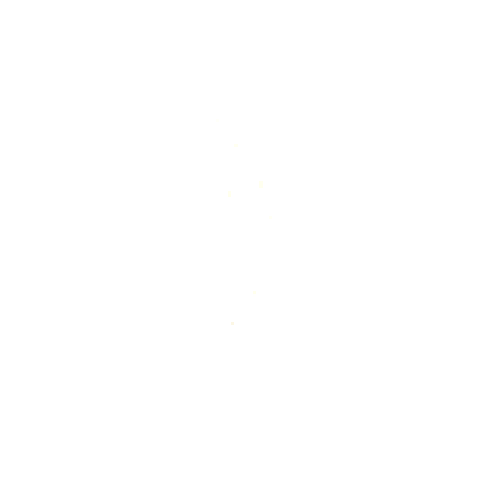 COc1cccc(C#Cc2ccc3ncnc(NC(C)c4cccc5ccccc45)c3c2)c1